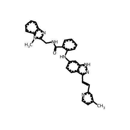 Cc1ccnc(C=Cc2n[nH]c3cc(Nc4ccccc4C(=O)NCc4nc5ccccc5n4C)ccc23)c1